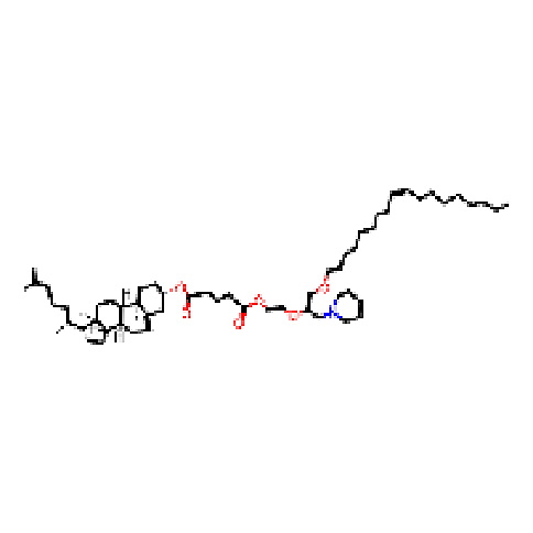 CCCCCCCC/C=C\CCCCCCCCOCC(CN1CCCCC1)OCCOC(=O)CCCC(=O)O[C@H]1CC[C@@]2(C)C(=CC[C@H]3[C@@H]4CC[C@H]([C@H](C)CCCC(C)C)[C@@]4(C)CC[C@@H]32)C1